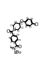 CN(C(=O)c1ccc(C(=O)N2CCC(Oc3ccc(Cl)cc3)CC2)cc1)C(C)(C)C